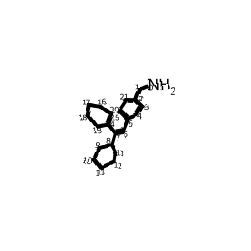 NCc1ccc(C=C(C2CCCCC2)C2CCCCC2)cc1